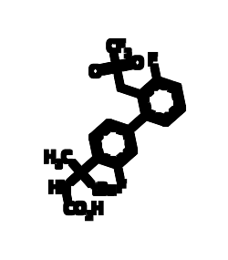 CC(C)(C)C(C)(NC(=O)O)c1ccc(-c2cccc(F)c2CS(=O)(=O)C(F)(F)F)cc1F